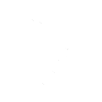 Cn1nccc1-c1ccc2c(c1)CC1(CCN(C#N)C1)C(=O)N2